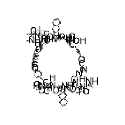 CN[C@@H](C)C(=O)N[C@H](C(=O)N1CC2CC1C(=O)N[C@@H](Cc1ccc3ccccc3c1)C(=O)N[C@H](C(=O)NS(C)(=O)=O)Cc1ccc(cc1)OCCCCO[C@H]1C[C@@H](C(=O)N[C@@H](Cc3ccc4ccccc4c3)C(=O)N[C@H](C(=O)O)Cc3ccc(cc3)OCc3c4n2n3-4)N(C(=O)[C@@H](NC(=O)[C@H](C)NC)C(C)(C)C)C1)C(C)(C)C